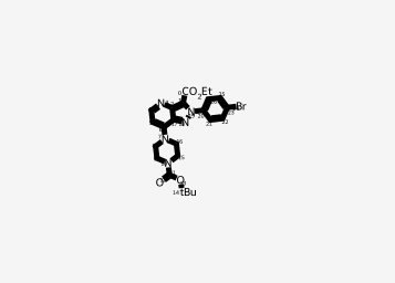 CCOC(=O)c1c2nccc(N3CCN(C(=O)OC(C)(C)C)CC3)c2nn1-c1ccc(Br)cc1